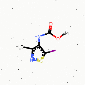 Cc1nsc(I)c1NC(=O)OC(C)C